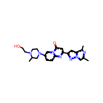 Cc1cn2nc(-c3cc(=O)n4cc(N5CCN(CCO)C(C)C5)ccc4n3)cc2c(C)n1